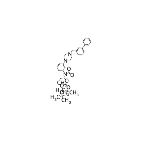 CCC(OC(=O)OC(C)(C)CC(C)(C)C)n1c(=O)oc2c(N3CCN(Cc4cccc(-c5ccccc5)c4)CC3)cccc21